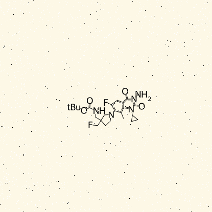 Cc1c(N2CCC(CF)(CNC(=O)OC(C)(C)C)C2)c(F)cc2c(=O)n(N)c(=O)n(C3CC3)c12